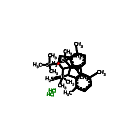 Cc1ccc(C)c2c1C=C([Si](C)(C)C)[CH]2[Ti]([CH3])([CH3])(=[SiH2])[CH]1C([Si](C)(C)C)=Cc2c(C)ccc(C)c21.Cl.Cl